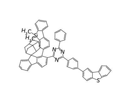 C[Si]1(C)c2ccccc2-c2ccc(-c3c(-c4nc(-c5ccccc5)nc(-c5ccc(-c6ccc7sc8ccccc8c7c6)cc5)n4)ccc4c3C3(c5ccccc5-4)C4CC5CC(C4)CC3C5)cc21